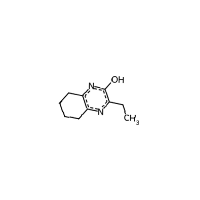 CCc1nc2c(nc1O)CCCC2